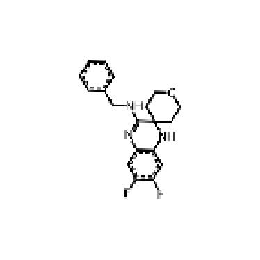 Fc1cc2c(cc1F)NC1(CCOCC1)C(NCc1ccccc1)=N2